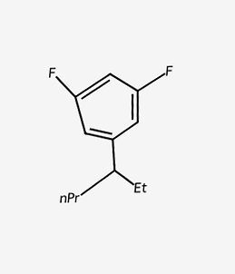 CCCC(CC)c1cc(F)cc(F)c1